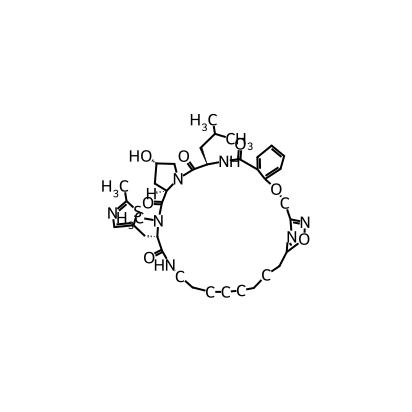 Cc1ncc(C[C@H]2C(=O)NCCCCCCCCc3nc(no3)COc3ccccc3C(=O)N[C@H](CC(C)C)C(=O)N3C[C@@H](O)C[C@@H]3C(=O)N2C)s1